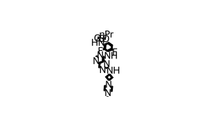 CCCS(=O)(=O)Nc1ccc(F)c(Nc2ncnc3cnc(NC4CC(N5CCN(C)CC5)C4)nc23)c1F